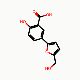 O=C(O)c1cc(-c2ccc(CO)o2)ccc1O